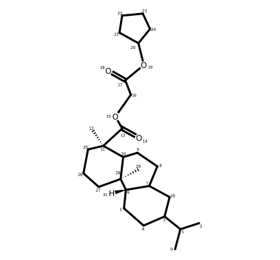 CC(C)C1CC[C@H]2C(CCC3[C@](C)(C(=O)OCC(=O)OC4CCCC4)CCC[C@@]32C)C1